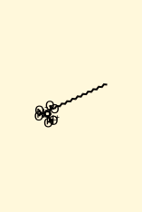 CCCCCCCCCCCCCCCCCCCCOC(=O)c1cc([N+](=O)[O-])cc([N+](=O)[O-])c1